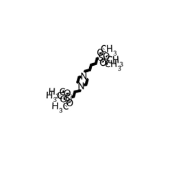 CO[Si](CCCCCN1CCN(CCC[Si](OC)(OC)OC)CC1)(OC)OC